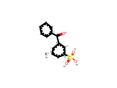 O=C(c1ccccc1)c1cccc(S(=O)(=O)[O-])c1.[K+]